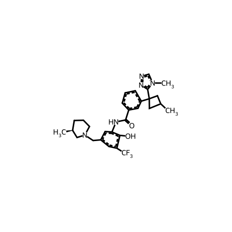 CC1CC(c2cccc(C(=O)Nc3cc(CN4CCC[C@H](C)C4)cc(C(F)(F)F)c3O)c2)(c2nncn2C)C1